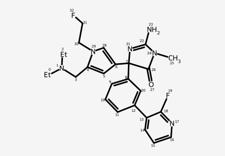 CCN(CC)Cc1cc(C2(c3cccc(-c4cccnc4F)c3)N=C(N)N(C)C2=O)cn1CCF